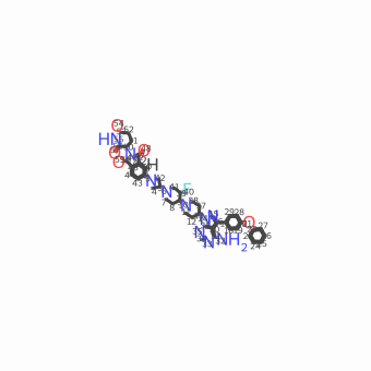 [2H]c1c(N2CC(N3CCC(N4CCC(n5nc(-c6ccc(Oc7ccccc7)cc6)c6c(N)ncnc65)CC4)C(F)C3)C2)ccc2c1C(=O)N(C1CCC(=O)NC1=O)C2=O